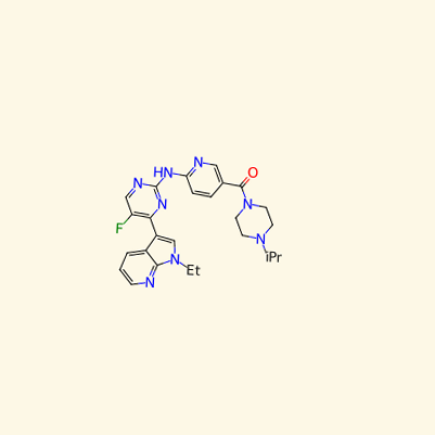 CCn1cc(-c2nc(Nc3ccc(C(=O)N4CCN(C(C)C)CC4)cn3)ncc2F)c2cccnc21